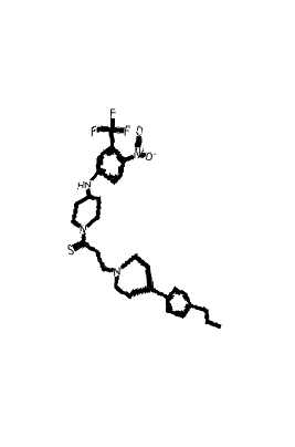 CCCc1ccc(C2CCN(CCC(=S)N3CCC(Nc4ccc([N+](=O)[O-])c(C(F)(F)F)c4)CC3)CC2)cc1